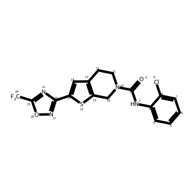 O=C(Nc1ccccc1Cl)N1CCc2cc(-c3noc(C(F)(F)F)n3)sc2C1